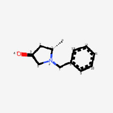 C[C@H]1CC(=O)CN1Cc1ccccc1